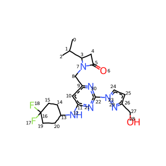 CC(C)C1CC(=O)N1Cc1cc(NC2CCC(F)(F)CC2)nc(-n2ccc(CO)n2)n1